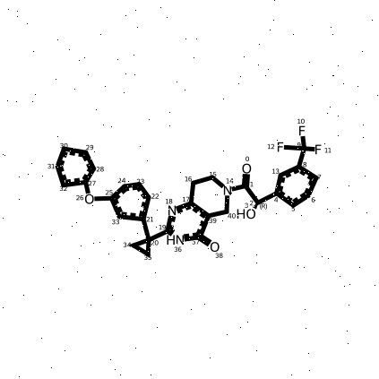 O=C([C@H](O)c1cccc(C(F)(F)F)c1)N1CCc2nc(C3(c4cccc(Oc5ccccc5)c4)CC3)[nH]c(=O)c2C1